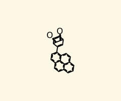 O=C1C(=O)C2C=CC1C=C2c1ccc2ccc3cccc4ccc1c2c34